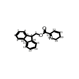 O=C(OCC1c2ccccc2-c2ccccc21)C1=NCCC=C1